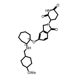 COC1CCC(CN[C@H]2CCCCC[C@H]2Oc2ccc3c(c2)CN(C2CCC(=O)NC2=O)C3=O)CC1